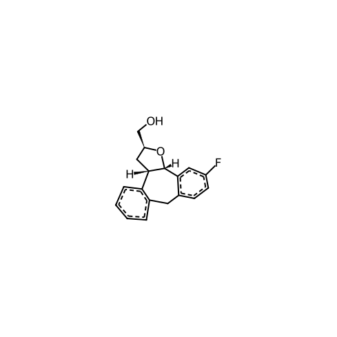 OC[C@@H]1C[C@H]2c3ccccc3Cc3ccc(F)cc3[C@H]2O1